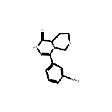 O=C1NN=C(c2cccc([N+](=O)[O-])c2)N2CSCCC12